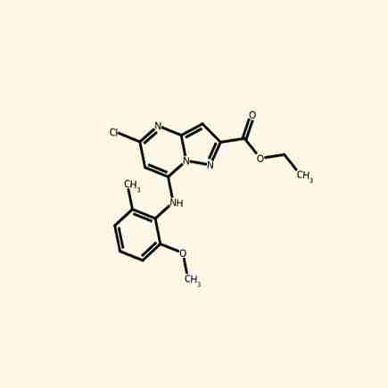 CCOC(=O)c1cc2nc(Cl)cc(Nc3c(C)cccc3OC)n2n1